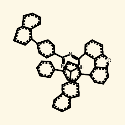 c1ccc(-c2ccc(-c3cccc4oc5cccc(C6=NC(c7ccc(-c8cccc9ccccc89)cc7)=NC(c7ccc8ccccc8c7)N6)c5c34)cc2)cc1